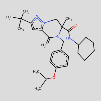 C=C1c2cc(C(C)(C)C)nn2CC(C)(C(=O)NC2CCCCC2)N1Cc1ccc(OC(C)C)cc1